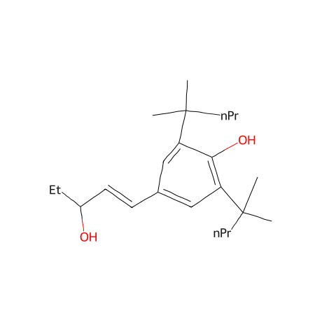 CCCC(C)(C)c1cc(C=CC(O)CC)cc(C(C)(C)CCC)c1O